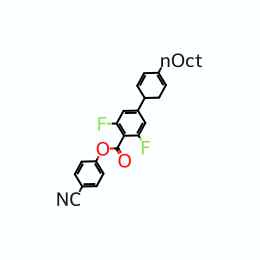 CCCCCCCCC1=CCC(c2cc(F)c(C(=O)Oc3ccc(C#N)cc3)c(F)c2)C=C1